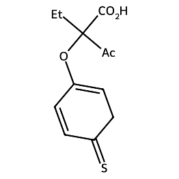 CCC(OC1=CCC(=S)C=C1)(C(C)=O)C(=O)O